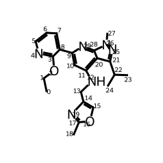 CCOc1ncccc1-c1cc(NCc2coc(C)n2)c2c(C(C)C)nn(C)c2n1